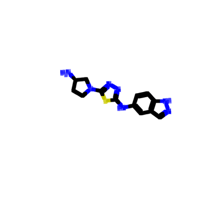 N[C@@H]1CCN(c2nnc(Nc3ccc4[nH]ncc4c3)s2)C1